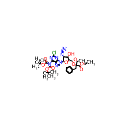 CCOC(=O)C(Cc1ccccc1)(OC[C@H]1O[C@@H](n2cnc3c(N(C(=O)OC(C)(C)C)C(=O)OC(C)(C)C)nc(Cl)nc32)[C@H](N=[N+]=[N-])[C@@H]1O)C(C)=O